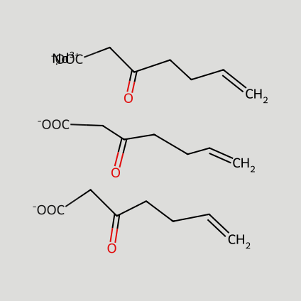 C=CCCC(=O)CC(=O)[O-].C=CCCC(=O)CC(=O)[O-].C=CCCC(=O)CC(=O)[O-].[Nd+3]